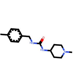 Cc1ccc(CNC(=O)NC2CCN(C)CC2)cc1